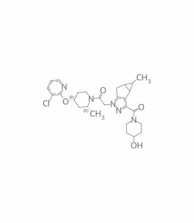 CC1C2Cc3c(c(C(=O)N4CCC(O)CC4)nn3CC(=O)N3CC[C@@H](Oc4ncccc4Cl)C[C@H]3C)C12